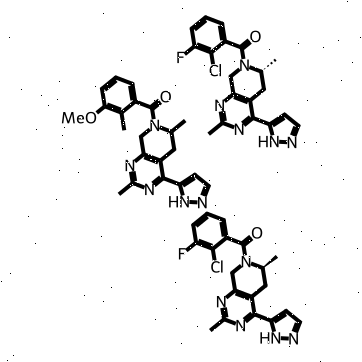 COc1cccc(C(=O)N2Cc3nc(C)nc(-c4ccn[nH]4)c3CC2C)c1C.Cc1nc2c(c(-c3ccn[nH]3)n1)C[C@@H](C)N(C(=O)c1cccc(F)c1Cl)C2.Cc1nc2c(c(-c3ccn[nH]3)n1)C[C@H](C)N(C(=O)c1cccc(F)c1Cl)C2